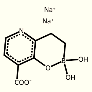 O=C([O-])c1ccnc2c1O[B-](O)(O)CC2.[Na+].[Na+]